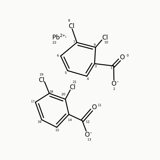 O=C([O-])c1cccc(Cl)c1Cl.O=C([O-])c1cccc(Cl)c1Cl.[Pb+2]